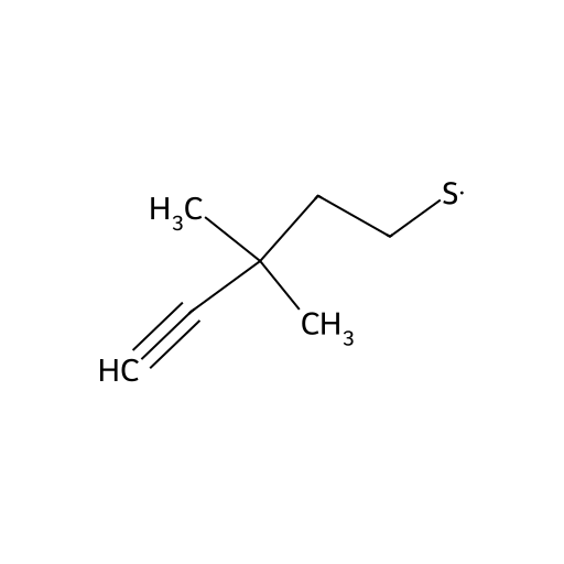 C#CC(C)(C)CC[S]